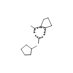 Cc1nc(OC2CCCC2)nc2c1CCC2